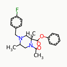 CC(=O)N1CC(C)N(Cc2ccc(F)cc2)CC1(C)C(=O)Oc1ccccc1